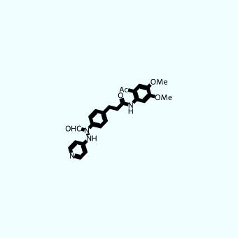 COc1cc(NC(=O)CCc2ccc(N(C=O)Nc3ccncc3)cc2)c(C(C)=O)cc1OC